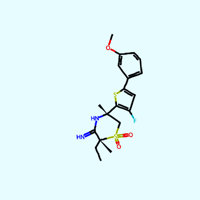 CC[C@]1(C)C(=N)N[C@](C)(c2sc(-c3cccc(OC)c3)cc2F)CS1(=O)=O